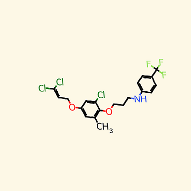 Cc1cc(OCC=C(Cl)Cl)cc(Cl)c1OCCCNc1ccc(C(F)(F)F)cc1